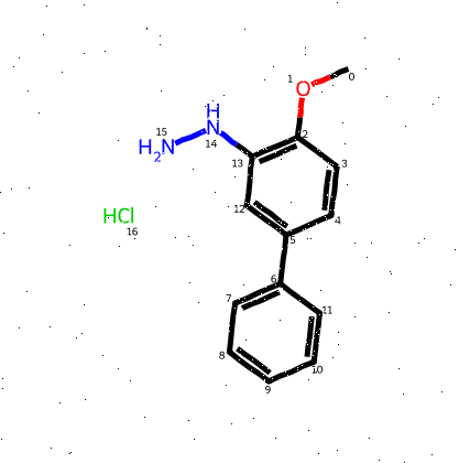 COc1ccc(-c2ccccc2)cc1NN.Cl